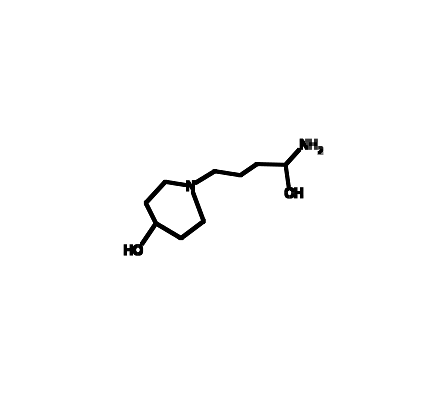 NC(O)CCCN1CCC(O)CC1